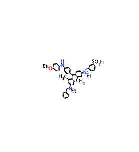 CCOc1ccc(Nc2ccc(/C(=C3C=C/C(=[N+](/CC)Cc4cccc(S(=O)(=O)O)c4)C=C\3C)c3ccc(N(CC)Cc4ccccc4)cc3C)cc2)cc1